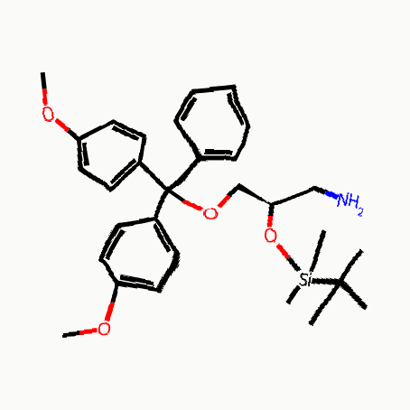 COc1ccc(C(OC[C@@H](CN)O[Si](C)(C)C(C)(C)C)(c2ccccc2)c2ccc(OC)cc2)cc1